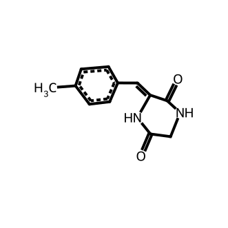 Cc1ccc(C=C2NC(=O)CNC2=O)cc1